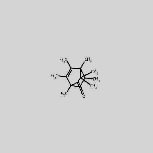 CC1=C(C)C2(C)C(C)CC1(C)C(=O)C2(C)C